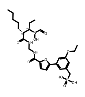 CCCCC[C@@H](C(=O)NCNC(=O)c1ccc(-c2cc(CP(=O)(O)O)cc(OCC)c2)o1)[C@@H](CC)N(O)C=O